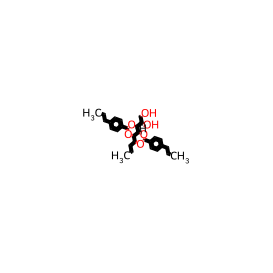 CCCc1ccc(C2OC3C(CCC)OC(c4ccc(CCC)cc4)O[C@@H]3[C@H]([C@@H](O)CO)O2)cc1